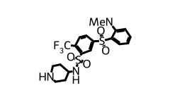 CNc1ccccc1S(=O)(=O)c1ccc(C(F)(F)F)c(S(=O)(=O)NC2CCNCC2)c1